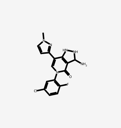 Cn1ccc(-c2cn(-c3cc(Cl)ccc3F)c(=O)c3c2NNC3N)n1